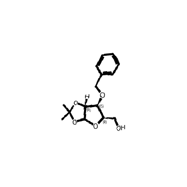 CC1(C)OC2O[C@H](CO)[C@H](OCc3ccccc3)[C@H]2O1